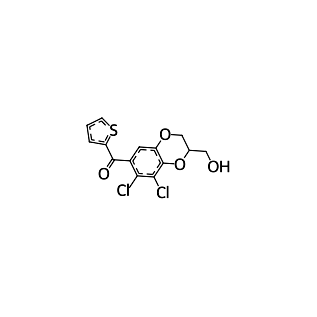 O=C(c1cccs1)c1cc2c(c(Cl)c1Cl)OC(CO)CO2